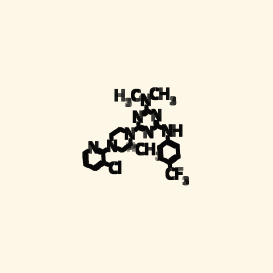 C[C@@H]1CN(c2ncccc2Cl)CCN1c1nc(Nc2ccc(C(F)(F)F)cc2)nc(N(C)C)n1